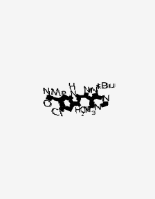 CNC(=O)c1cc2[nH]c(-c3nn(C(C)(C)C)c4ncnc(N)c34)c(C)c2cc1Cl